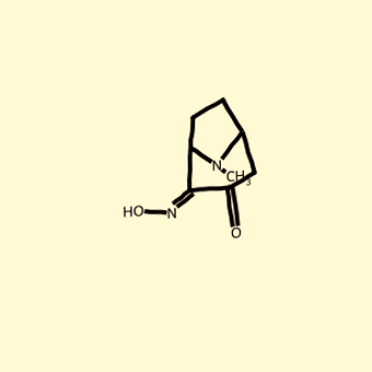 CN1C2CCC1C(=NO)C(=O)C2